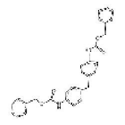 O=C(Nc1ccc(Cc2ccc(NC(=O)OCc3ccccc3)cc2)cc1)OCc1ccccc1